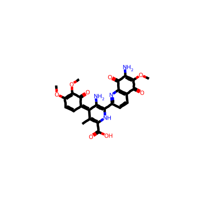 COC1=C(OC)C(=O)/C(=C2/C(C)=C(C(=O)O)NC(c3ccc4c(n3)C(=O)C(N)=C(OC)C4=O)=C2N)C=C1